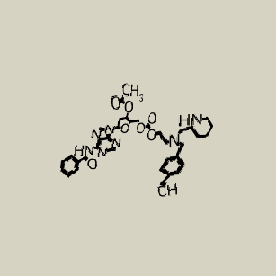 C#Cc1ccc(CN(CCOC(=O)OCC2OC(n3cnc4c(NC(=O)c5ccccc5)ncnc43)CC2OC(C)=O)CC2CCCCN2)cc1